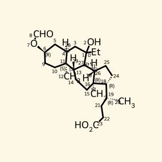 CCC1(O)C[C@@H]2C[C@H](OC=O)CC[C@]2(C)[C@H]2CC[C@]3(C)[C@@H]([C@H](C)CCC(=O)O)CC[C@H]3[C@@H]21